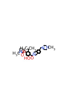 CC(C)c1cc(C(=O)N2Cc3ccc(CN4CCN(C)CC4)cc3C2)c(O)cc1OC(=O)N(C)C